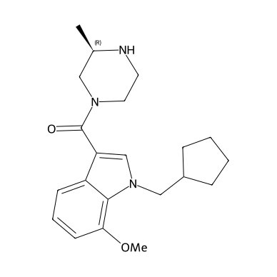 COc1cccc2c(C(=O)N3CCN[C@H](C)C3)cn(CC3CCCC3)c12